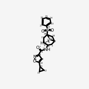 CN1C2CC(NC(=O)c3cc(C4CC4)on3)CCC1(S(=O)(=O)c1ccccc1)C2